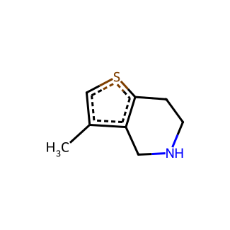 Cc1csc2c1CNCC2